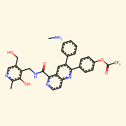 CN.Cc1ncc(CO)c(CNC(=O)c2nccc3nc(-c4ccc(OC(=O)C(F)(F)F)cc4)c(-c4ccccc4)cc23)c1O